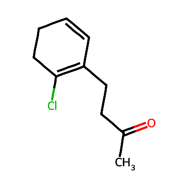 CC(=O)CCC1=C(Cl)CCC=C1